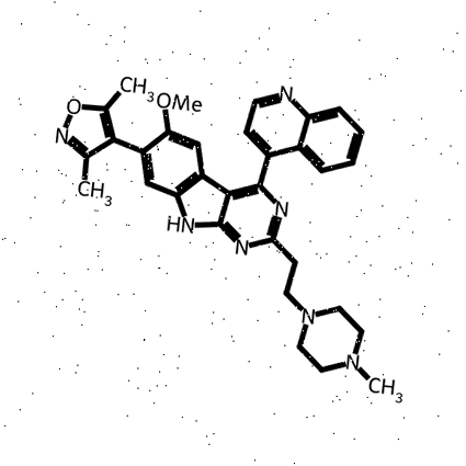 COc1cc2c(cc1-c1c(C)noc1C)[nH]c1nc(CCN3CCN(C)CC3)nc(-c3ccnc4ccccc34)c12